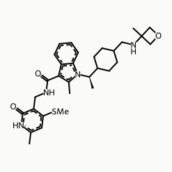 CSc1cc(C)[nH]c(=O)c1CNC(=O)c1c(C)n([C@H](C)C2CCC(CNC3(C)COC3)CC2)c2ccccc12